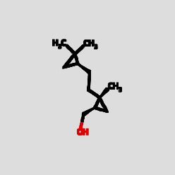 CC1(C)C[C@@H]1CC[C@]1(C)C[C@H]1CO